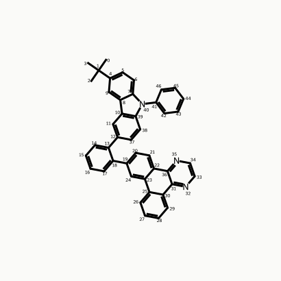 CC(C)(C)c1ccc2c(c1)c1cc(-c3ccccc3-c3ccc4c(c3)c3ccccc3c3nccnc43)ccc1n2-c1ccccc1